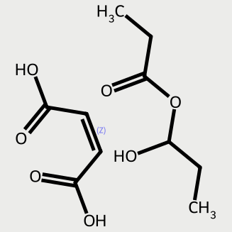 CCC(=O)OC(O)CC.O=C(O)/C=C\C(=O)O